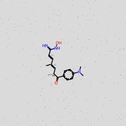 CC(/C=C/C(=N)NO)=C\[C@@H](C)C(=O)c1ccc(N(C)C)cc1